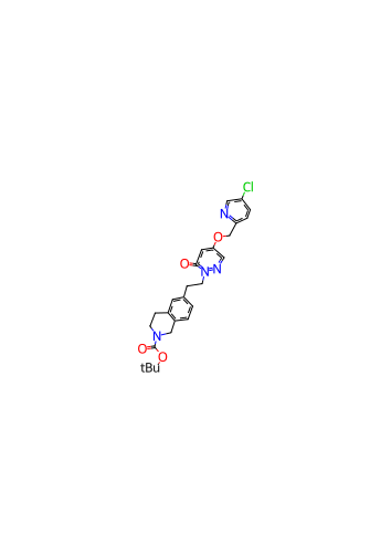 CC(C)(C)OC(=O)N1CCc2cc(CCn3ncc(OCc4ccc(Cl)cn4)cc3=O)ccc2C1